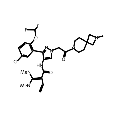 C=CC(C(=O)Nc1cn(CC(=O)N2CCC3(CC2)CN(C)C3)nc1-c1cc(Cl)ccc1OC(F)F)=C(NC)NC